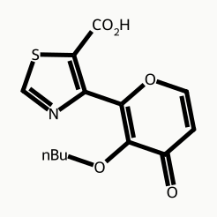 CCCCOc1c(-c2ncsc2C(=O)O)occc1=O